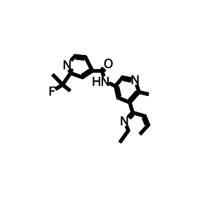 C/C=C\C(=N/CC)c1cc(NC(=O)c2ccnc(C(C)(C)F)c2)cnc1C